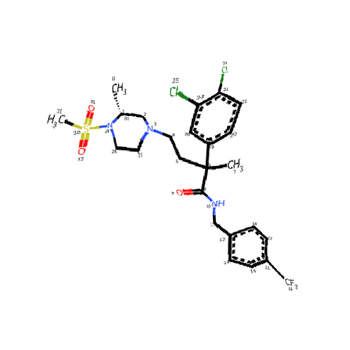 C[C@@H]1CN(CCC(C)(C(=O)NCc2ccc(C(F)(F)F)cc2)c2ccc(Cl)c(Cl)c2)CCN1S(C)(=O)=O